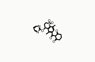 Cc1cc(C(=O)C2C(=O)CCCC2=O)c(C)c2c1S(=O)(=O)CCC2Oc1ncccn1